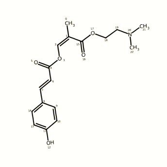 CC(=COC(=O)/C=C/c1ccc(O)cc1)C(=O)OCCN(C)C